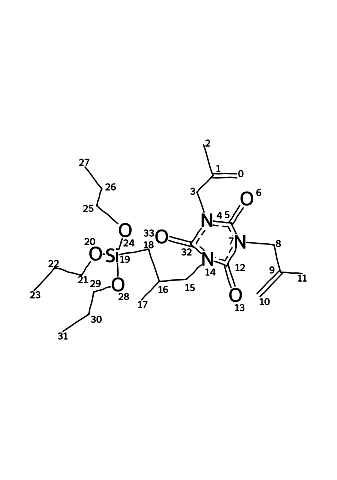 C=C(C)Cn1c(=O)n(CC(=C)C)c(=O)n(CC(C)C[Si](OCCC)(OCCC)OCCC)c1=O